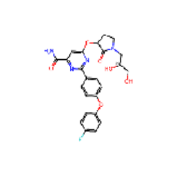 NC(=O)c1cc(OC2CCN(C[C@H](O)CO)C2=O)nc(-c2ccc(Oc3ccc(F)cc3)cc2)n1